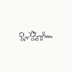 CNC(=O)N/C=C(\C=O)c1cc(C2C[C@@H]2c2ccccc2C#N)c(C)nn1